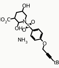 CC(C)(C)C#CCOc1ccc(S(=O)(=O)N2CC(O)CC(C(=O)O)C2O)cc1.N